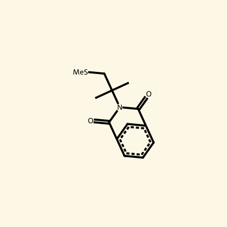 CSCC(C)(C)N1C(=O)c2cccc(c2)C1=O